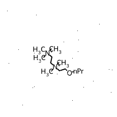 CCCOCC[N+](C)(C)CC[N+](C)(C)C